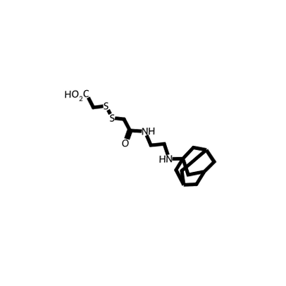 O=C(O)CSSCC(=O)NCCNC12CC3CC(CC(C3)C1)C2